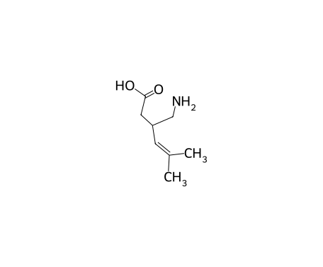 CC(C)=CC(CN)CC(=O)O